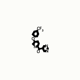 O=C(c1cncnc1)c1ccc(Oc2ccc(C(F)(F)F)cc2)cn1